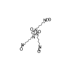 O=C=NCCCCCCN=c1oc(=O)n(CCCCCCN=C=O)c(=O)n1CCCCCCN=C=O